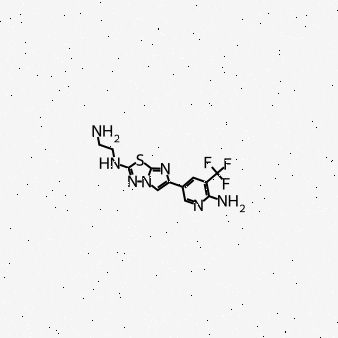 NCCNc1nn2cc(-c3cnc(N)c(C(F)(F)F)c3)nc2s1